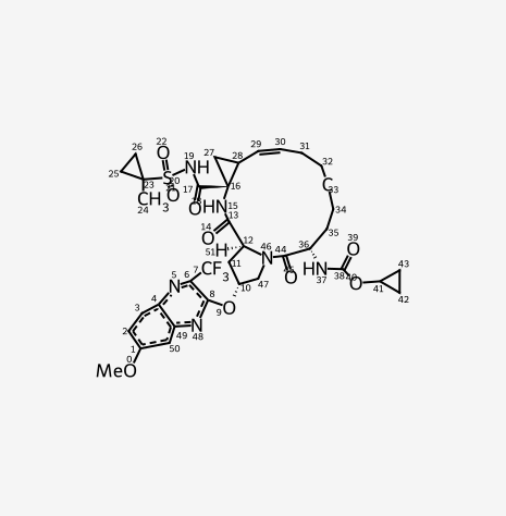 COc1ccc2nc(C(F)(F)F)c(O[C@@H]3C[C@H]4C(=O)N[C@]5(C(=O)NS(=O)(=O)C6(C)CC6)CC5/C=C\CCCCC[C@H](NC(=O)OC5CC5)C(=O)N4C3)nc2c1